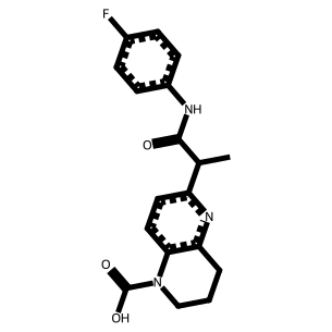 CC(C(=O)Nc1ccc(F)cc1)c1ccc2c(n1)CCCN2C(=O)O